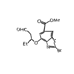 CCC(CC=O)Oc1cc(C(=O)OC)cc2sc(Br)nc12